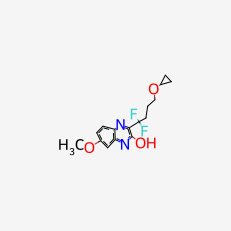 COc1ccc2nc(C(F)(F)CCCOC3CC3)c(O)nc2c1